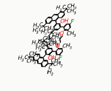 Cc1cc(F)cc(-c2cc(C(C)(C)CC(C)(C)C)cc(-c3c4ccc(C(C)(C)C)cc4cc4ccc(C(C)(C)C)cc34)c2O)c1OCCCOc1c(C)cc(F)cc1-c1cc(C(C)(C)CC(C)(C)C)cc(-c2c3ccc(C(C)(C)C)cc3cc3ccc(C(C)(C)C)cc23)c1O